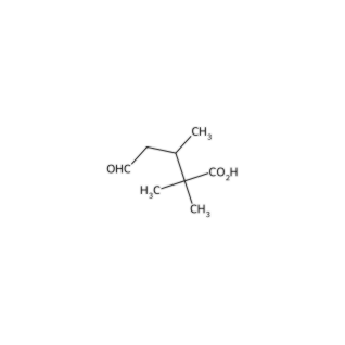 CC(CC=O)C(C)(C)C(=O)O